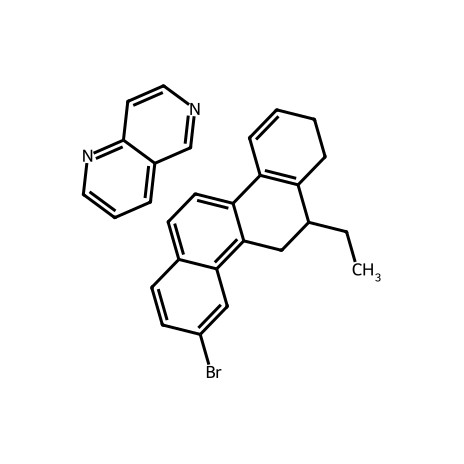 CCC1Cc2c(ccc3ccc(Br)cc23)C2=C1CCC=C2.c1cnc2ccncc2c1